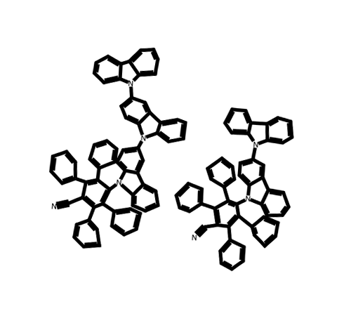 N#Cc1c(-c2ccccc2)c(-c2ccccc2)c(-n2c3ccccc3c3cc(-n4c5ccccc5c5cc(-n6c7ccccc7c7ccccc76)ccc54)ccc32)c(-c2ccccc2)c1-c1ccccc1.N#Cc1c(-c2ccccc2)c(-c2ccccc2)c(-n2c3ccccc3c3cc(-n4c5ccccc5c5ccccc54)ccc32)c(-c2ccccc2)c1-c1ccccc1